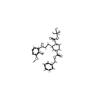 COc1cccc(NCC[C@@H]2CN(C(=O)OCc3ccccc3)CCN2C(=O)OC(C)(C)C)c1F